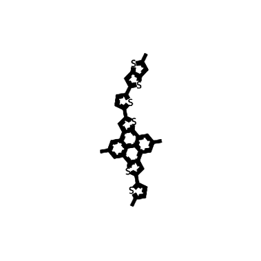 Cc1cc2c3cc(-c4ccc(-c5cc6sc(C)cc6s5)s4)sc3c3cc(C)cc4c5cc(-c6ccc(C)s6)sc5c(c1)c2c43